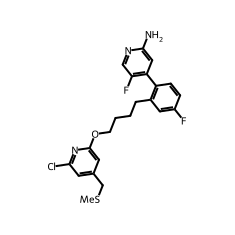 CSCc1cc(Cl)nc(OCCCCc2cc(F)ccc2-c2cc(N)ncc2F)c1